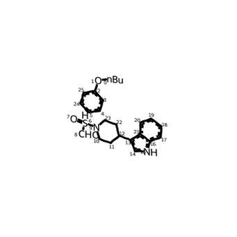 CCCCOc1ccc([SH](=O)(C=O)N2CCC(c3c[nH]c4ccccc34)CC2)cc1